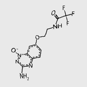 Nc1nc2ccc(OCCNC(=O)C(F)(F)F)cc2[n+]([O-])n1